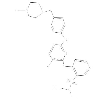 CN1CCN(Cc2ccc(Nc3ncc(Cl)c(Nc4ccncc4S(=O)(=O)N(C)C)n3)cc2)CC1